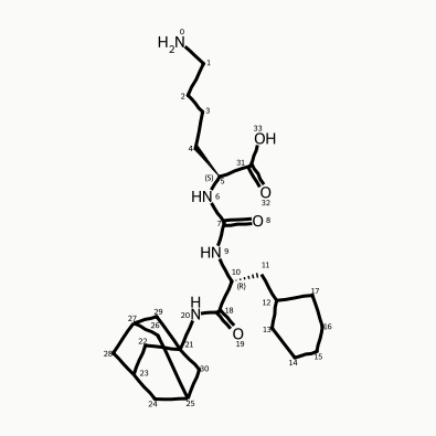 NCCCC[C@H](NC(=O)N[C@H](CC1CCCCC1)C(=O)NC12CC3CC(CC(C3)C1)C2)C(=O)O